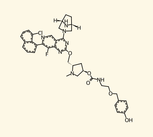 CN1C[C@H](OC(=O)NCCOCc2ccc(O)cc2)C[C@H]1COc1nc(N2C[C@H]3CC[C@@H](C2)N3)c2cnc(-c3cccc4cccc(Cl)c34)c(F)c2n1